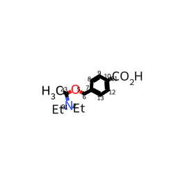 CCN(CC)C(C)OCc1ccc(C(=O)O)cc1